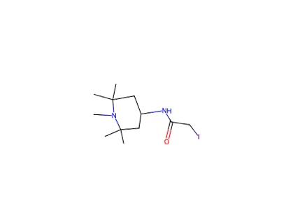 CN1C(C)(C)CC(NC(=O)CI)CC1(C)C